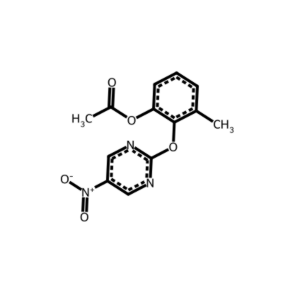 CC(=O)Oc1cccc(C)c1Oc1ncc([N+](=O)[O-])cn1